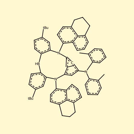 Cc1ccccc1N(c1cc2c(C)c(c1)N(c1ccc3c4c(cccc14)CCC3)c1cc(C(C)(C)C)ccc1Bc1ccc(C(C)(C)C)cc1N2c1ccc2c3c(cccc13)CCC2)c1ccccc1C